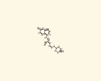 C=N/C(=C\C=C/CC1CCNCC1)OCc1ccnc2cc(F)ccc12